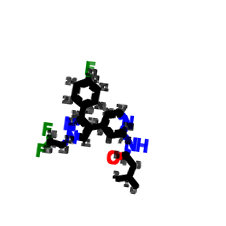 CC(C)CC(=O)Nc1cc(-c2cn(CC(F)F)nc2-c2ccc(F)cc2)ccn1